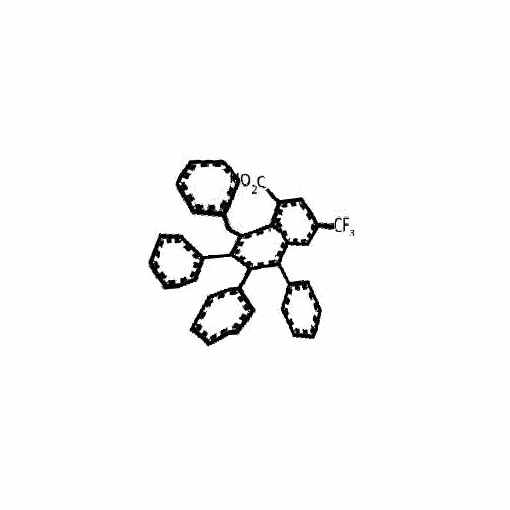 O=C(O)c1cc(C(F)(F)F)cc2c(-c3ccccc3)c(-c3ccccc3)c(-c3ccccc3)c(-c3ccccc3)c12